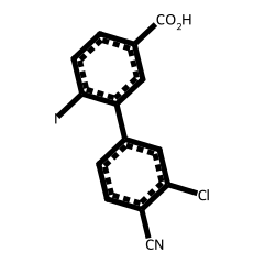 N#Cc1ccc(-c2cc(C(=O)O)ccc2I)cc1Cl